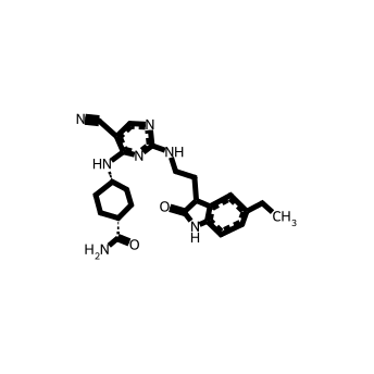 CCc1ccc2c(c1)C(CCNc1ncc(C#N)c(N[C@H]3CC[C@@H](C(N)=O)CC3)n1)C(=O)N2